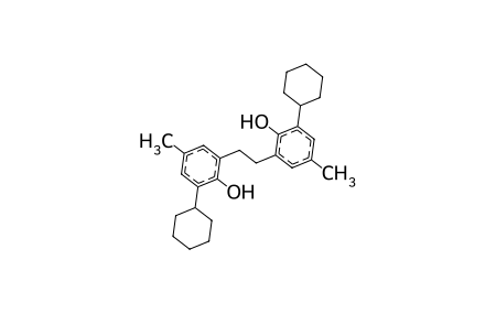 Cc1cc(CCc2cc(C)cc(C3CCCCC3)c2O)c(O)c(C2CCCCC2)c1